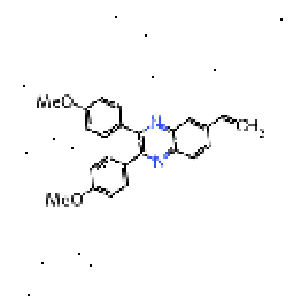 C=Cc1ccc2nc(-c3ccc(OC)cc3)c(-c3ccc(OC)cc3)nc2c1